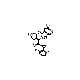 O=C(NC(C(=O)C1CC1c1c(F)cccc1F)C1CCNCC1)c1ccnc(F)c1